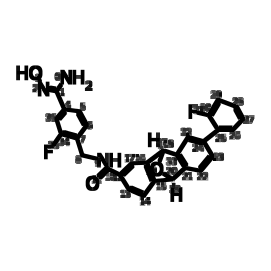 NC(=NO)c1ccc(CNC(=O)c2ccc3c(c2)[C@@H]2O[C@H]3c3ccc(-c4ccccc4F)cc32)c(F)c1